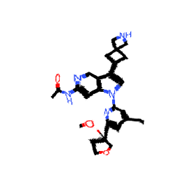 CO[C@@]1(c2cc(C)cc(-n3cc(C4CC5(CNC5)C4)c4cnc(NC(C)=O)cc43)n2)CCOC1